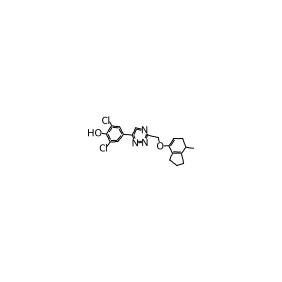 CC1CC=C(OCc2ncc(-c3cc(Cl)c(O)c(Cl)c3)nn2)C2=C1CCC2